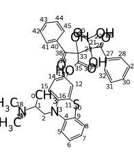 CC(CN1c2ccccc2Sc2ccccc21)N(C)C.O=C(O)C(O)(C(=O)c1ccccc1)C(O)(C(=O)O)C(=O)c1ccccc1